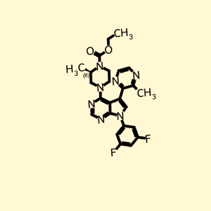 CCOC(=O)N1CCN(c2ncnc3c2c(-c2nccnc2C)cn3-c2cc(F)cc(F)c2)C[C@H]1C